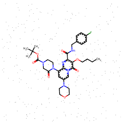 CCCCOc1c(C(=O)NCc2ccc(F)cc2)nc2c(N3CCN(C(=O)OC(C)(C)C)CC3=O)cc(N3CCOCC3)cn2c1=O